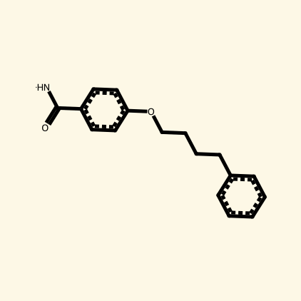 [NH]C(=O)c1ccc(OCCCCc2ccccc2)cc1